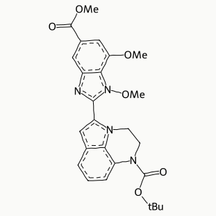 COC(=O)c1cc(OC)c2c(c1)nc(-c1cc3cccc4c3n1CCN4C(=O)OC(C)(C)C)n2OC